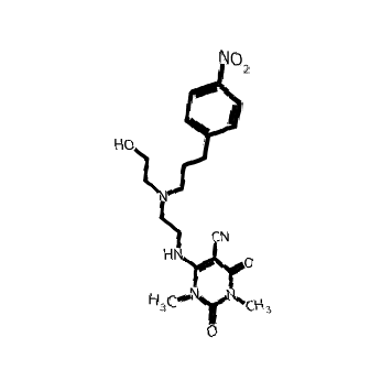 Cn1c(NCCN(CCO)CCCc2ccc([N+](=O)[O-])cc2)c(C#N)c(=O)n(C)c1=O